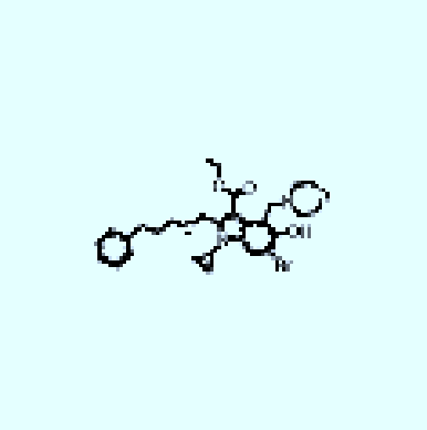 CCOC(=O)c1c(CSCCCc2ccccc2)n(C2CC2)c2cc(Br)c(O)c(CN3CCOCC3)c12